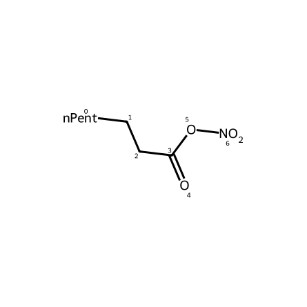 CCCCCCCC(=O)O[N+](=O)[O-]